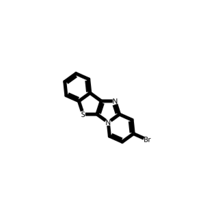 Brc1ccn2c(c1)nc1c3ccccc3sc12